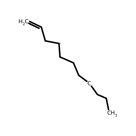 C=CC[CH]CCCCCCC